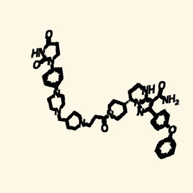 NC(=O)c1c(-c2ccc(Oc3ccccc3)cc2)nn2c1NCC[C@H]2C1CCN(C(=O)CCN2CCC(CN3CCN(c4ccc(N5CCC(=O)NC5=O)cc4)CC3)CC2)CC1